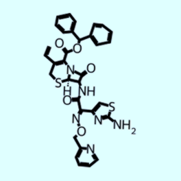 C=CC1=C(C(=O)OC(c2ccccc2)c2ccccc2)N2C(=O)C(NC(=O)/C(=N/OCc3ccccn3)c3csc(N)n3)[C@H]2SC1